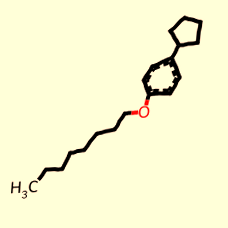 CCCCCCCCOc1ccc(C2CCCC2)cc1